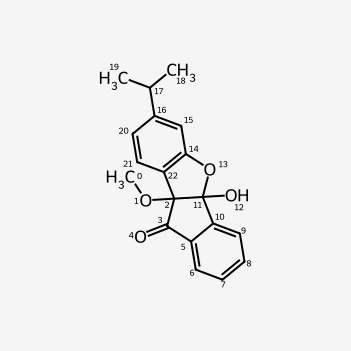 COC12C(=O)c3ccccc3C1(O)Oc1cc(C(C)C)ccc12